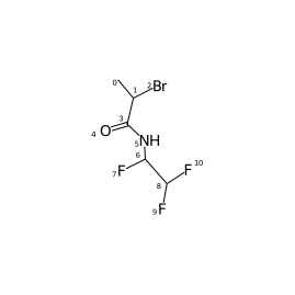 CC(Br)C(=O)NC(F)C(F)F